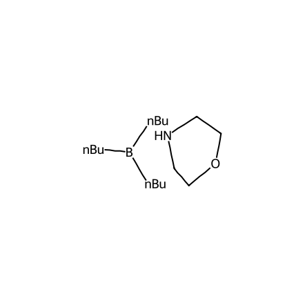 C1COCCN1.CCCCB(CCCC)CCCC